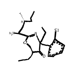 CCC1OC(C(N)[C@H](C)CC)=NC(CC)(c2ccccc2Cl)C1=O